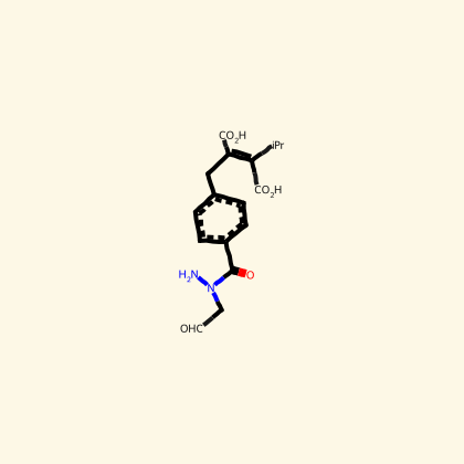 CC(C)C(C(=O)O)=C(Cc1ccc(C(=O)N(N)CC=O)cc1)C(=O)O